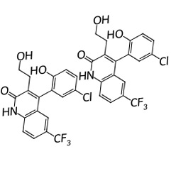 O=c1[nH]c2ccc(C(F)(F)F)cc2c(-c2cc(Cl)ccc2O)c1CCO.O=c1[nH]c2ccc(C(F)(F)F)cc2c(-c2cc(Cl)ccc2O)c1CCO